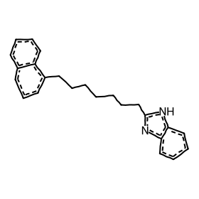 c1ccc2c(CCCCCCCc3nc4ccccc4[nH]3)cccc2c1